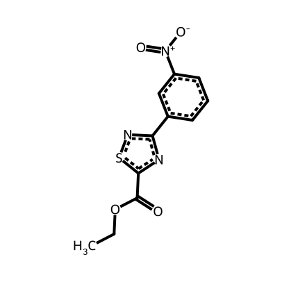 CCOC(=O)c1nc(-c2cccc([N+](=O)[O-])c2)ns1